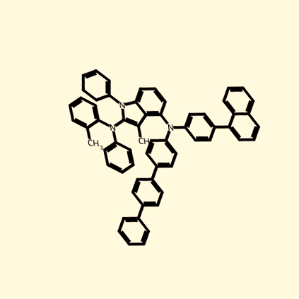 Cc1ccccc1N(c1ccccc1)c1c(C)c2c(N(c3ccc(-c4ccc(-c5ccccc5)cc4)cc3)c3ccc(-c4cccc5ccccc45)cc3)cccc2n1C1=CC=CCC1